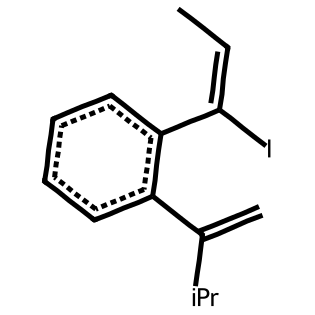 C=C(c1ccccc1/C(I)=C\C)C(C)C